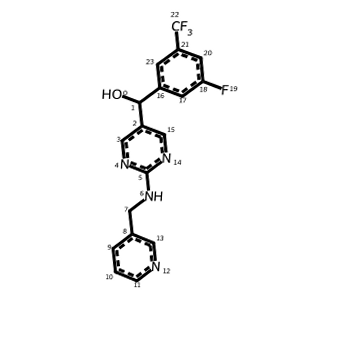 OC(c1cnc(NCc2cccnc2)nc1)c1cc(F)cc(C(F)(F)F)c1